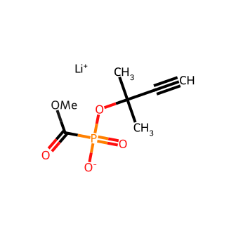 C#CC(C)(C)OP(=O)([O-])C(=O)OC.[Li+]